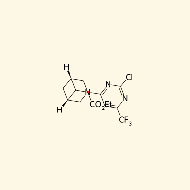 CCOC(=O)CC1[C@@H]2C[C@H]1CN(c1cc(C(F)(F)F)nc(Cl)n1)C2